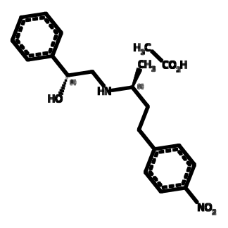 CC(=O)O.C[C@@H](CCc1ccc([N+](=O)[O-])cc1)NC[C@H](O)c1ccccc1